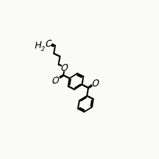 C=CCCCOC(=O)c1ccc(C(=O)c2ccccc2)cc1